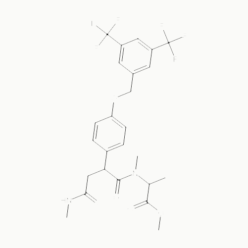 CNC(=O)CC(C(=O)N(C)C(C)C(=O)OC)c1ccc(OCc2cc(C(F)(F)F)cc(C(F)(F)F)c2)cc1